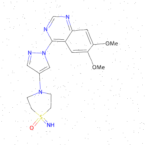 COc1cc2ncnc(-n3cc(N4CCS(=N)(=O)CC4)cn3)c2cc1OC